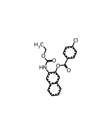 CCOC(=O)Nc1cc2ccccc2cc1OC(=O)c1ccc(Cl)cc1